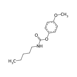 CCCCCNC(=O)Oc1ccc(OC)cc1